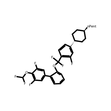 CCCCC[C@H]1CC[C@H](c2ccc(C(F)(F)Oc3ccccc3-c3cc(F)c(OC(F)F)c(F)c3)c(F)c2)CC1